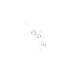 Cl.NCCOc1ccc(-c2c(Cl)cc(Nc3n[nH]c(N)n3)cc2C(F)(F)F)cc1